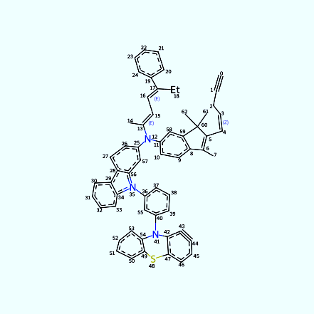 C#CC/C=C\C1=C(C)c2ccc(N(/C(C)=C/C=C(\CC)c3ccccc3)c3ccc4c5ccccc5n(-c5cccc(N6c7c#cccc7Sc7ccccc76)c5)c4c3)cc2C1(C)C